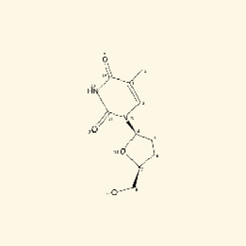 Cc1cn([C@H]2CC[C@@H](C[O])O2)c(=O)[nH]c1=O